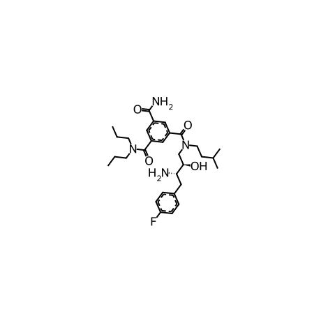 CCCN(CCC)C(=O)c1cc(C(N)=O)cc(C(=O)N(CCC(C)C)C[C@@H](O)[C@@H](N)Cc2ccc(F)cc2)c1